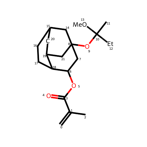 C=C(C)C(=O)OC1CC2(OC(C)(CC)OC)CC3CCC1C(C3)C2